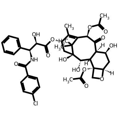 CC(=O)O[C@H]1C(=O)[C@@H]2[C@H]([C@H](O)[C@]3(O)C[C@H](OC(=O)[C@H](O)[C@@H](NC(=O)c4ccc(Cl)cc4)c4ccccc4)C(C)=C1C3(C)C)[C@]1(OC(C)=O)CO[C@@H]1C[C@@H]2O